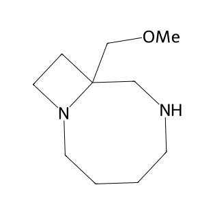 COCC12CCN1CCCCNC2